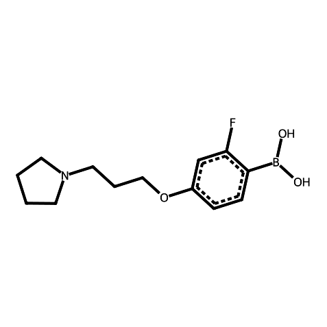 OB(O)c1ccc(OCCCN2CCCC2)cc1F